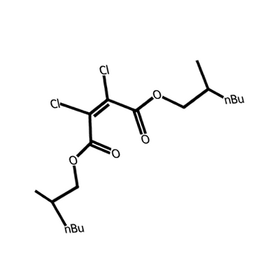 CCCCC(C)COC(=O)/C(Cl)=C(/Cl)C(=O)OCC(C)CCCC